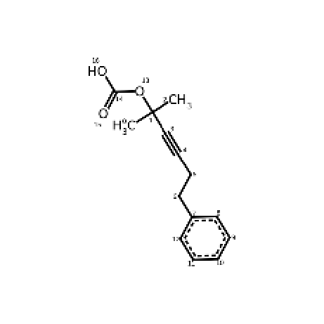 CC(C)(C#CCCc1ccccc1)OC(=O)O